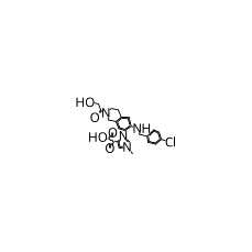 Cn1cnc(S(=O)(=O)O)c1.O=C(CO)N1CCc2cc(NCc3ccc(Cl)cc3)ccc2C1